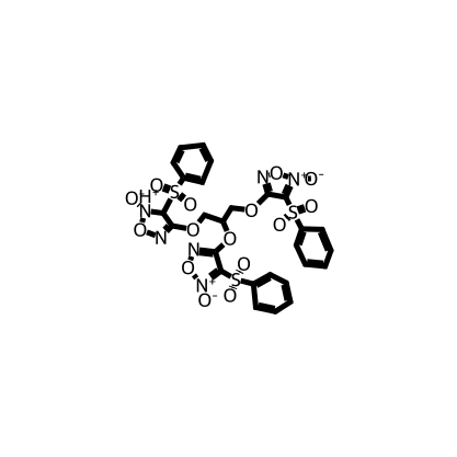 O=S(=O)(c1ccccc1)c1c(OCC(COC2=NO[NH+]([O-])C2S(=O)(=O)c2ccccc2)Oc2no[n+]([O-])c2S(=O)(=O)c2ccccc2)no[n+]1[O-]